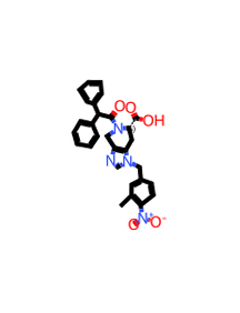 Cc1cc(Cn2cnc3c2C[C@@H](C(=O)O)N(C(=O)C(c2ccccc2)c2ccccc2)C3)ccc1[N+](=O)[O-]